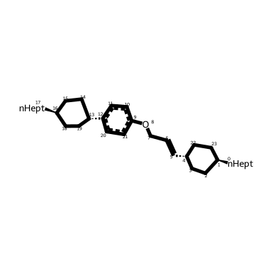 CCCCCCC[C@H]1CC[C@H](/C=C/COc2ccc([C@H]3CC[C@H](CCCCCCC)CC3)cc2)CC1